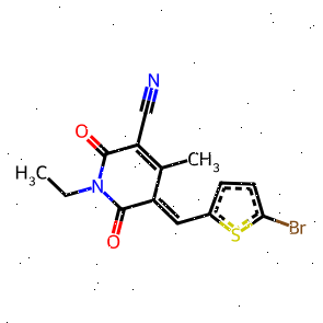 CCN1C(=O)C(C#N)=C(C)/C(=C\c2ccc(Br)s2)C1=O